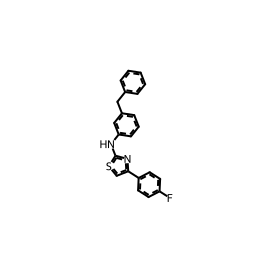 Fc1ccc(-c2csc(Nc3cccc(Cc4ccccc4)c3)n2)cc1